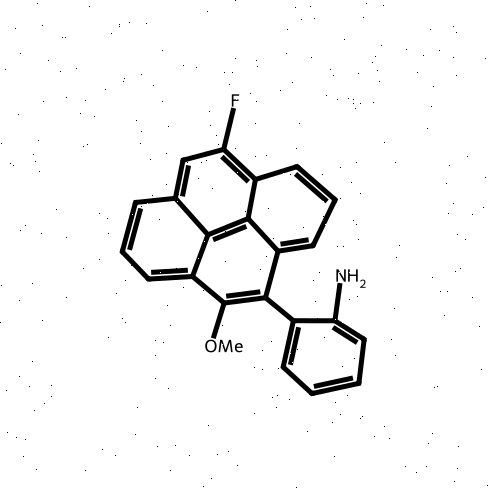 COc1c(-c2ccccc2N)c2cccc3c(F)cc4cccc1c4c32